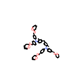 Cc1cc(Cc2ccc(N(c3ccc(COC4CCCCO4)cc3)c3ccc(COC4CCCCO4)cc3)c(C)c2)ccc1N(c1ccc(COC2CCCCO2)cc1)c1ccc(COC2CCCCO2)cc1